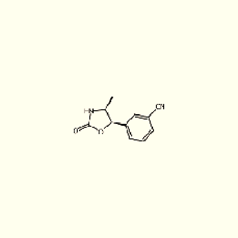 C[C@@H]1NC(=O)O[C@@H]1c1cccc(C#N)c1